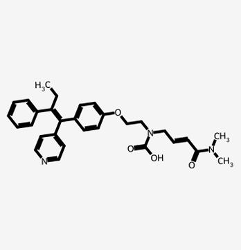 CCC(=C(c1ccncc1)c1ccc(OCCN(CC=CC(=O)N(C)C)C(=O)O)cc1)c1ccccc1